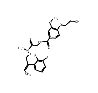 C/C=C(/CON(C)C(=O)CNC(=O)c1ccc(OCCO)c(OC)c1)c1cccc(F)c1F